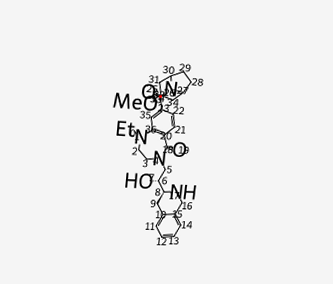 CCN1CCN(C[C@@H](O)[C@@H]2Cc3ccccc3CN2)C(=O)c2ccc(C(=O)N3C4CCC3CC(OC)C4)cc21